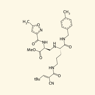 COC(=O)[C@H](CN[C@@H](CCCNC(=O)C(C#N)=CC(C)(C)C)C(=O)NCc1ccc(C)cc1)NC(=O)c1cc(C)on1